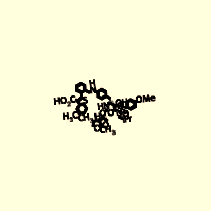 COc1ccc(S(=O)(=O)N(CC(C)C)C[C@H](O)[C@@H](Cc2ccc(NCc3ccccc3-c3sc4c(c3C(=O)O)CC(C)(C)CC4)cc2)NC(=O)O[C@H]2CO[C@@]3(C)OCC[C@@H]23)cc1